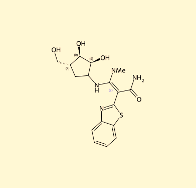 CN/C(NC1C[C@H](CO)[C@@H](O)[C@H]1O)=C(\C(N)=O)c1nc2ccccc2s1